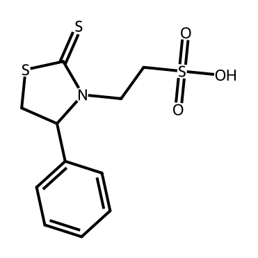 O=S(=O)(O)CCN1C(=S)SCC1c1ccccc1